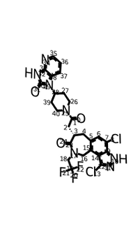 O=C(C[C@@H]1Cc2cc(Cl)c3[nH]nc(Cl)c3c2CN(CC(F)(F)F)C1=O)N1CCC(n2c(=O)[nH]c3ncccc32)CC1